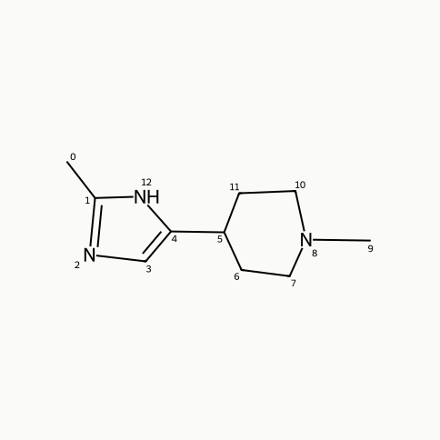 Cc1ncc(C2CCN(C)CC2)[nH]1